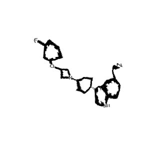 N#Cc1ccc2[nH]cc([C@H]3CC[C@H](N4CC(Oc5cccc(F)c5)C4)CC3)c2c1